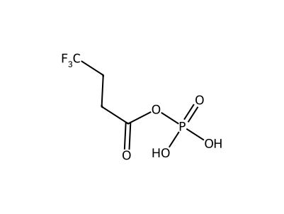 O=C(CCC(F)(F)F)OP(=O)(O)O